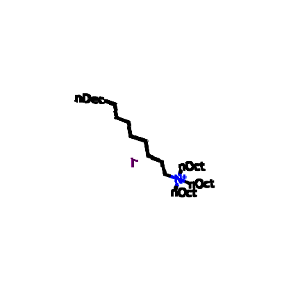 CCCCCCCCCCCCCCCCCC[N+](CCCCCCCC)(CCCCCCCC)CCCCCCCC.[I-]